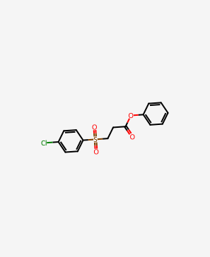 O=C(CCS(=O)(=O)c1ccc(Cl)cc1)Oc1ccccc1